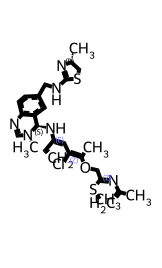 C=C/C(=C\C(Cl)=C(/C)OC/C(=N/C(=C)C)SC)N[C@@H]1c2cc(CNC3=N[C@H](C)CS3)ccc2N=CN1C